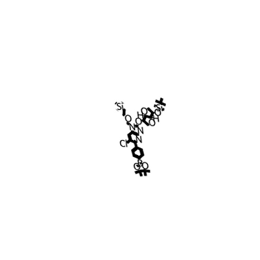 CC1(C)OB(c2ccc(-c3nc4nc(OC5CO[C@H]6[C@@H]5OC[C@H]6O[Si](C)(C)C(C)(C)C)n(COCC[Si](C)(C)C)c4cc3Cl)cc2)OC1(C)C